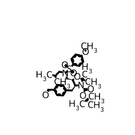 COc1ccc(S(=O)(=O)N(CC(C)C)C[C@H]2OC(C)(C)N(C(=O)OC(C)(C)C)[C@H]2Cc2ccc(C=O)cc2)cc1